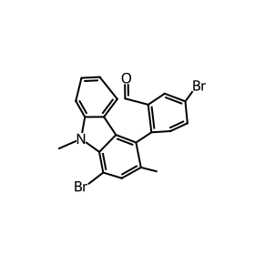 Cc1cc(Br)c2c(c1-c1ccc(Br)cc1C=O)c1ccccc1n2C